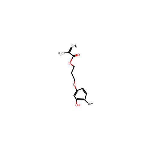 C=C(C)C(=O)OCCCOc1ccc(CCC)c(O)c1